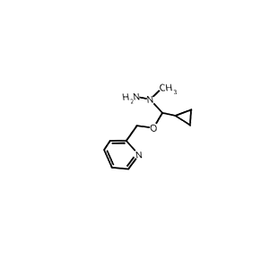 CN(N)C(OCc1ccccn1)C1CC1